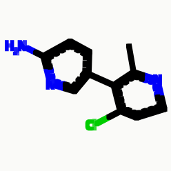 Cc1nccc(Cl)c1-c1ccc(N)nc1